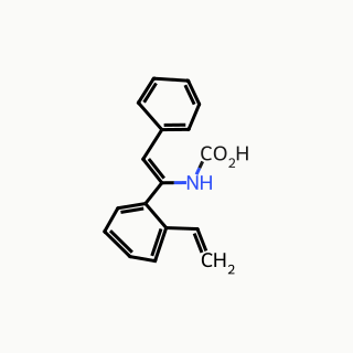 C=Cc1ccccc1/C(=C/c1ccccc1)NC(=O)O